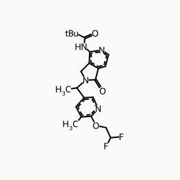 Cc1cc(C(C)N2Cc3c(ccnc3NC(=O)C(C)(C)C)C2=O)cnc1OCC(F)F